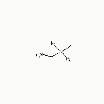 CC[N+](C)(CC)C[SiH3]